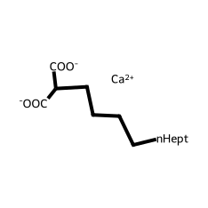 CCCCCCCCCCCC(C(=O)[O-])C(=O)[O-].[Ca+2]